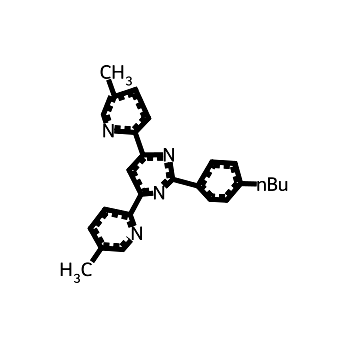 CCCCc1ccc(-c2nc(-c3ccc(C)cn3)cc(-c3ccc(C)cn3)n2)cc1